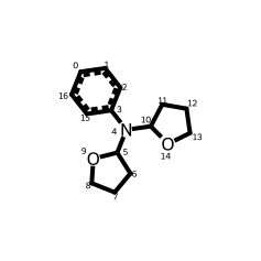 c1ccc(N(C2CCCO2)C2CCCO2)cc1